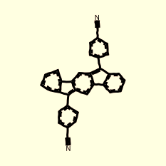 N#Cc1ccc(C2=c3cc4c(cc3-c3ccccc32)=C(c2ccc(C#N)cc2)c2ccccc2-4)cc1